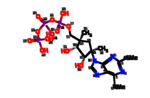 CNc1nc(SC)nc2c1ncn2[C@]1(C)C[C@](C)(COP(=O)(O)OP(=O)(O)OP(=O)(O)O)[C@@H](O)[C@H]1O